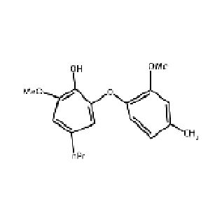 CCCc1cc(OC)c(O)c(Oc2ccc(C)cc2OC)c1